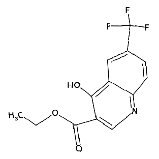 CCOC(=O)c1cnc2ccc(C(F)(F)F)cc2c1O